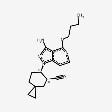 CCCCOc1nccc2c1c(N)nn2[C@@H]1CCC2(CC2)C[C@@H]1C#N